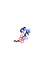 CCCCCS(=O)(=O)NC(=O)C(C)=Cc1c(C)nn(C)c1-n1ccc2cccnc21